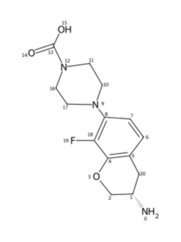 N[C@@H]1COc2c(ccc(N3CCN(C(=O)O)CC3)c2F)C1